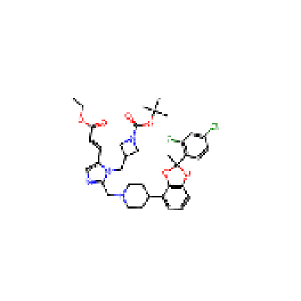 CCOC(=O)/C=C/c1cnc(CN2CCC(c3cccc4c3OC(C)(c3ccc(Cl)cc3F)O4)CC2)n1CC1CN(C(=O)OC(C)(C)C)C1